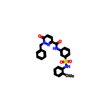 COc1ccccc1NS(=O)(=O)c1cccc(NC(=O)c2ccc(=O)n(Cc3ccccc3)n2)c1